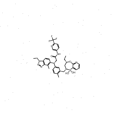 CC[C@@H]1CN(Cc2cc([C@H](CC(=O)Nc3ccc(C(F)(F)F)nc3)c3ccc4c(nnn4CC)c3C)ccc2C)S(O)(O)c2cccnc2O1